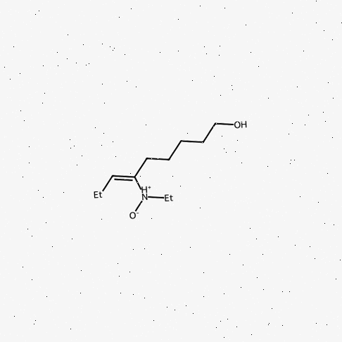 CCC=C(CCCCCO)[NH+]([O-])CC